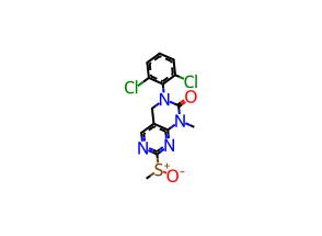 CN1C(=O)N(c2c(Cl)cccc2Cl)Cc2cnc([S+](C)[O-])nc21